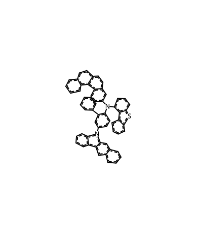 c1ccc(-c2cc(-n3c4ccccc4c4cc5ccccc5cc43)ccc2N(c2ccc3c(ccc4ccc5ccccc5c43)c2)c2cccc3sc4ccccc4c23)cc1